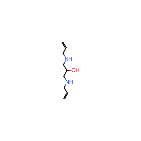 C=CCNCC(O)CNCC=C